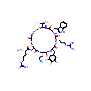 C=C(N)[C@@H]1CCCNC(=O)CC[C@H](NC(=O)[C@H](CCCNC(=N)N)NC(C)=O)C(=O)N[C@@H](CCN)C(=O)N[C@H](Cc2cc(F)c(F)c(F)c2)C(=O)N[C@@H](CCCNC(=N)N)C(=O)N[C@@H](Cc2c[nH]c3ccccc23)C(=O)N1